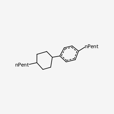 CCCCCc1ccc(C2CCC(CCCCC)CC2)cc1